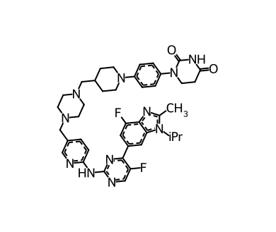 Cc1nc2c(F)cc(-c3nc(Nc4ccc(CN5CCN(CC6CCN(c7ccc(N8CCC(=O)NC8=O)cc7)CC6)CC5)cn4)ncc3F)cc2n1C(C)C